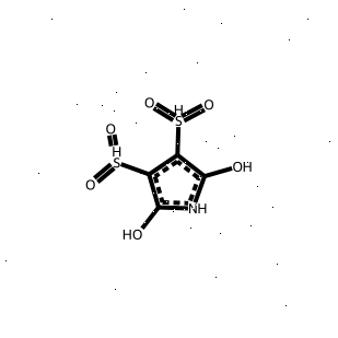 O=[SH](=O)c1c(O)[nH]c(O)c1[SH](=O)=O